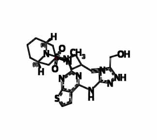 CN(c1nc(Nc2cc(CO)[nH]n2)c2ccsc2n1)[C@@H]1C[C@H]2CCC[C@@H](C1)N2S(=O)(=O)N1CC(C#N)C1